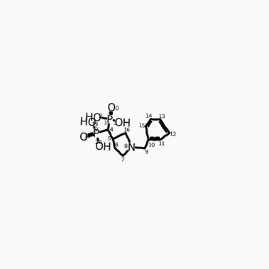 O=P(O)(O)C(C1CCN(Cc2ccccc2)C1)P(=O)(O)O